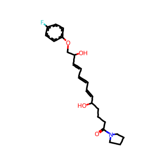 O=C(CCCC(O)/C=C/C=C/C=C/C(O)COc1ccc(F)cc1)N1CCCC1